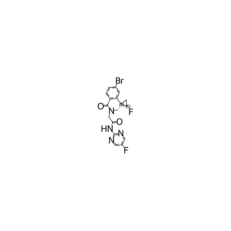 O=C(CN1C[C@@]2(C[C@@H]2F)c2cc(Br)ccc2C1=O)Nc1ncc(F)cn1